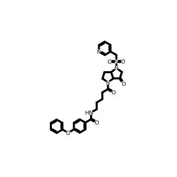 O=C(NCCCCC(=O)N1CCC2C1C(=O)CN2S(=O)(=O)Cc1cccnc1)c1ccc(Oc2ccccc2)cc1